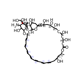 CC1OC(O[C@H]2/C=C/C=C/C=C/C=C/C=C/C=C/C=C/C[C@@H](O)[C@@H](C)[C@H](C)OC(=O)C[C@H](O)C[C@H](O)CC[C@@H](O)[C@H](O)C[C@H](O)C[C@]3(O)C[C@H](O)[C@@H](C(=O)NCCO)[C@H](C2)O3)C(O)C(N)C1O